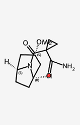 CO[C@@H]1C[C@H]2CC[C@@H](C1)N2C(=O)C1(C(N)=O)CC1